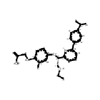 C=C(O)COc1ccc(O[C@@H](COCC)c2cccc(-c3ccc(C(C)C)cc3)n2)cc1C